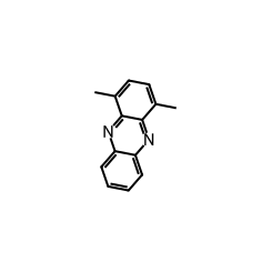 Cc1ccc(C)c2nc3ccccc3nc12